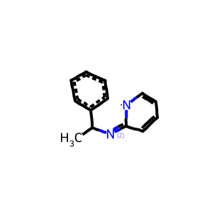 CC(/N=C1/C=CC=C[N]1)c1ccccc1